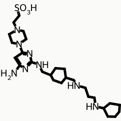 Nc1cc(N2CCN(CCS(=O)(=O)O)CC2)nc(NCC2CCC(CNCCCNC3CCCCC3)CC2)n1